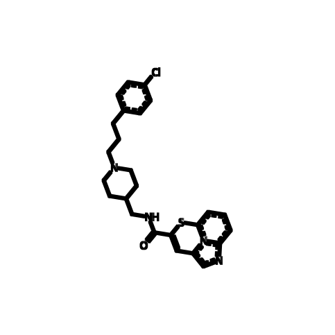 O=C(NCC1CCN(CCCc2ccc(Cl)cc2)CC1)C1=Cc2cnc3cccc(n23)S1